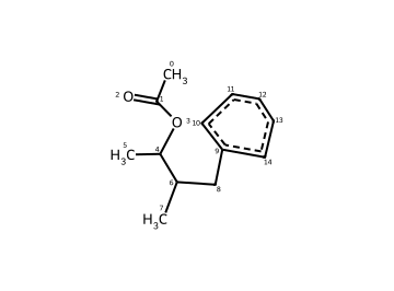 CC(=O)OC(C)C(C)Cc1ccccc1